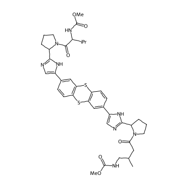 COC(=O)NCC(C)CC(=O)N1CCCC1c1ncc(-c2ccc3c(c2)Sc2ccc(-c4cnc(C5CCCN5C(=O)C(NC(=O)OC)C(C)C)[nH]4)cc2S3)[nH]1